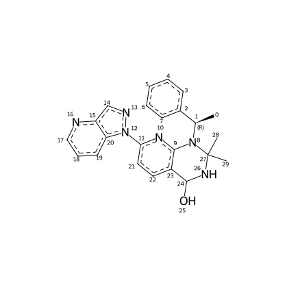 C[C@H](c1ccccc1)N1c2nc(-n3ncc4ncccc43)ccc2C(O)NC1(C)C